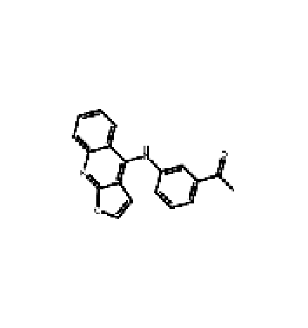 CC(=O)c1cccc(Nc2c3ccccc3nc3occc23)c1